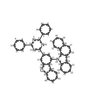 c1ccc(-c2nc(-c3ccccc3)nc(-c3cc(-n4c5ccccc5c5ccc6ccccc6c54)c4c(c3)oc3ccccc34)n2)cc1